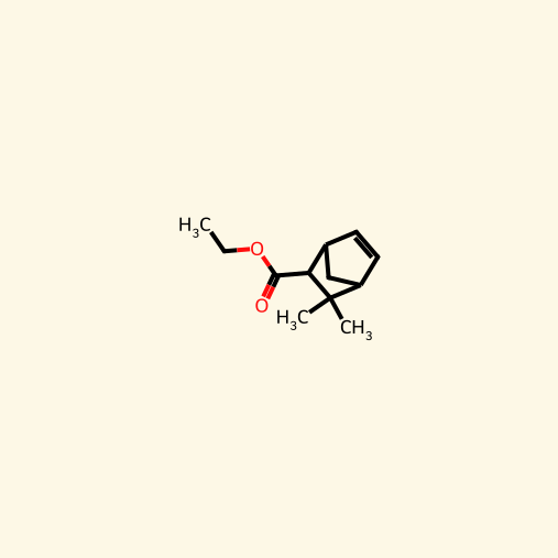 CCOC(=O)C1C2C=CC(C2)C1(C)C